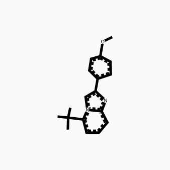 COc1ccc(-c2cn3c(C(C)(C)C)cccc3n2)cc1